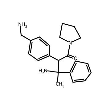 CC(N)(c1ccccc1)C(C(=O)N1CCCC1)c1ccc(CN)cc1